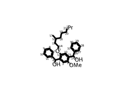 COc1cc(C(O)c2ccccc2)c(OCCC(C)CCCC(C)C)cc1C(O)c1ccccc1